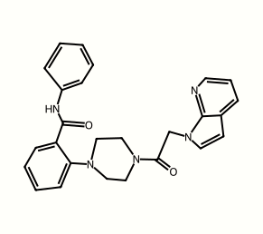 O=C(Nc1ccccc1)c1ccccc1N1CCN(C(=O)Cn2ccc3cccnc32)CC1